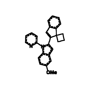 COc1ccc2c(c1)cc(C1=Cc3ccccc3C13CCC3)n2-c1ccccn1